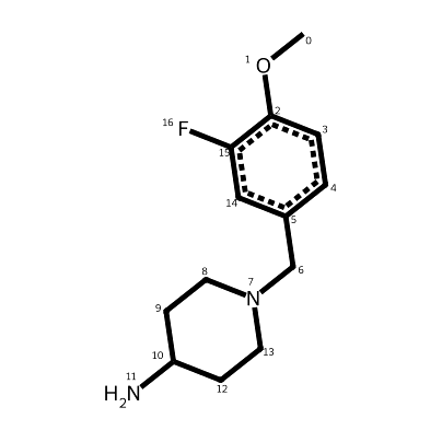 COc1ccc(CN2CCC(N)CC2)cc1F